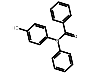 O=C(c1ccccc1)N(c1ccccc1)c1ccc(O)cc1